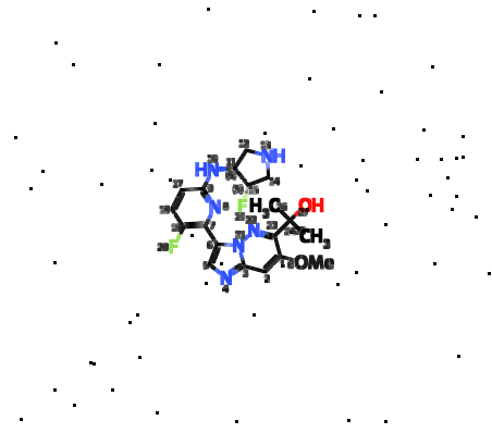 COc1cc2ncc(-c3nc(N[C@H]4CNC[C@@H]4F)ccc3F)n2nc1C(C)(C)O